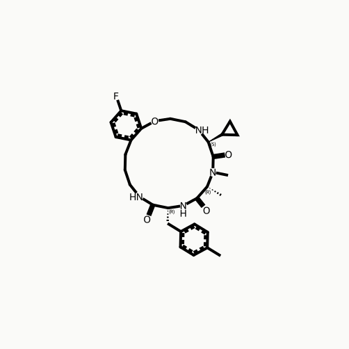 Cc1ccc(C[C@H]2NC(=O)[C@@H](C)N(C)C(=O)[C@H](C3CC3)NCCOc3cc(F)ccc3CCCNC2=O)cc1